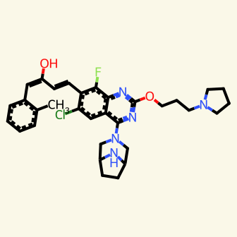 Cc1ccccc1/C=C(O)\C=C\c1c(Cl)cc2c(N3CC4CCC(C3)N4)nc(OCCCN3CCCC3)nc2c1F